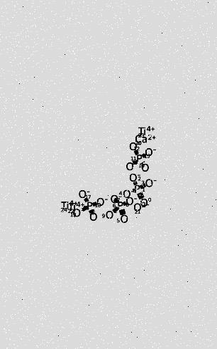 O=P([O-])([O-])[O-].O=P([O-])([O-])[O-].O=P([O-])([O-])[O-].O=P([O-])([O-])[O-].[Ca+2].[O-2].[Ti+4].[Ti+4].[Ti+4]